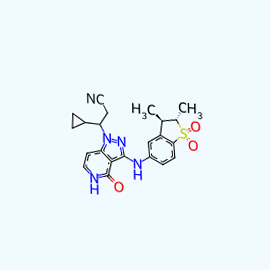 C[C@@H]1c2cc(Nc3nn(C(CC#N)C4CC4)c4cc[nH]c(=O)c34)ccc2S(=O)(=O)[C@H]1C